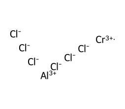 [Al+3].[Cl-].[Cl-].[Cl-].[Cl-].[Cl-].[Cl-].[Cr+3]